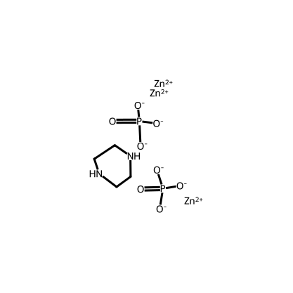 C1CNCCN1.O=P([O-])([O-])[O-].O=P([O-])([O-])[O-].[Zn+2].[Zn+2].[Zn+2]